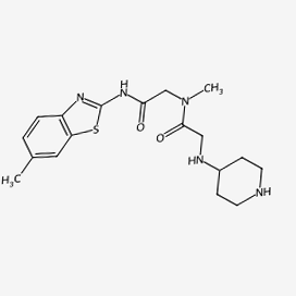 Cc1ccc2nc(NC(=O)CN(C)C(=O)CNC3CCNCC3)sc2c1